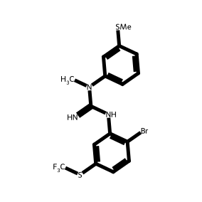 CSc1cccc(N(C)C(=N)Nc2cc(SC(F)(F)F)ccc2Br)c1